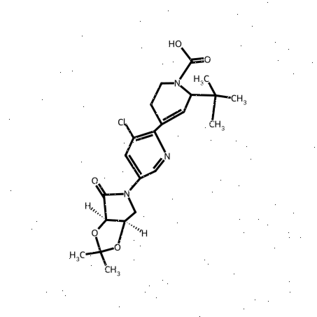 CC1(C)O[C@@H]2CN(c3cnc(C4=CC(C(C)(C)C)N(C(=O)O)CC4)c(Cl)c3)C(=O)[C@@H]2O1